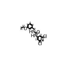 O=C(NCc1cccc(OCI)c1)Nc1cc(Cl)nc(Cl)c1